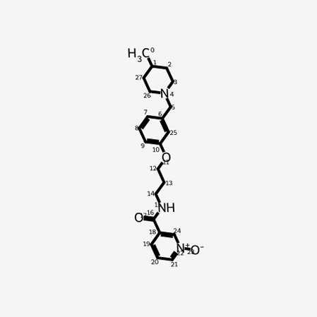 CC1CCN(Cc2cccc(OCCCNC(=O)c3ccc[n+]([O-])c3)c2)CC1